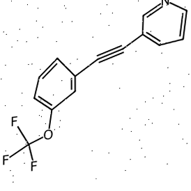 FC(F)(F)Oc1cccc(C#Cc2cccnc2)c1